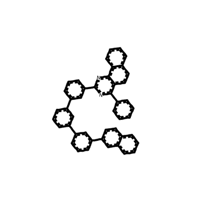 c1ccc(-c2nc(-c3cccc(-c4cccc(-c5cccc(-c6ccc7ccccc7c6)c5)c4)c3)nc3c2ccc2ccccc23)cc1